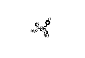 Cl.Cl.Clc1ccc(CC[C@@]2(Cn3ccnc3)OC[C@@H](Cn3ccnc3)O2)cc1.O.O